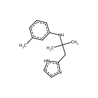 Cc1cccc(NC(C)(C)Cc2ncc[nH]2)c1